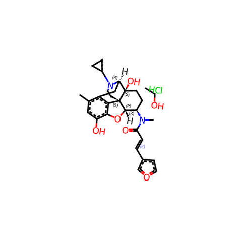 CCO.Cc1cc(O)c2c3c1C[C@H]1N(C4CC4)CC[C@@]34[C@@H](O2)[C@H](N(C)C(=O)/C=C/c2ccoc2)CC[C@@]14O.Cl